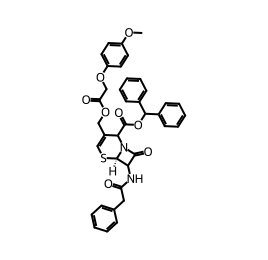 COc1ccc(OCC(=O)OCC2=CS[C@@H]3C(NC(=O)Cc4ccccc4)C(=O)N3C2C(=O)OC(c2ccccc2)c2ccccc2)cc1